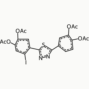 CC(=O)Oc1ccc(-c2nnc(-c3cc(OC(C)=O)c(OC(C)=O)cc3I)s2)cc1OC(C)=O